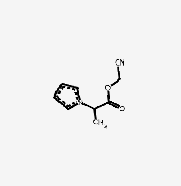 CC(C(=O)OCC#N)n1cccc1